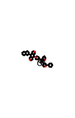 O=c1n(-c2ccc(-c3c4ccccc4c(-c4ccc5ccccc5c4)c4ccccc34)cc2)c2ccccc2n1-c1cccc(-c2ccccc2)c1